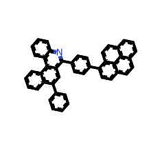 c1ccc(-c2cc3c(-c4ccc(-c5ccc6ccc7cccc8ccc5c6c78)cc4)nc4ccccc4c3c3ccccc23)cc1